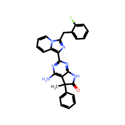 CC1(c2ccccc2)C(=O)Nc2nc(-c3nc(Cc4ccccc4F)n4ccccc34)nc(N)c21